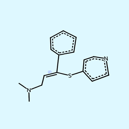 CN(C)C/C=C(\Sc1ccncc1)c1ccccc1